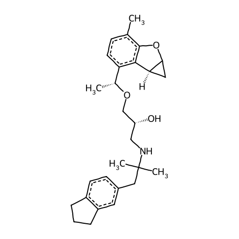 Cc1ccc([C@@H](C)OC[C@H](O)CNC(C)(C)Cc2ccc3c(c2)CCC3)c2c1OC1C[C@@H]21